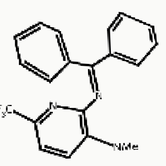 CNc1ccc(C(F)(F)F)nc1N=C(c1ccccc1)c1ccccc1